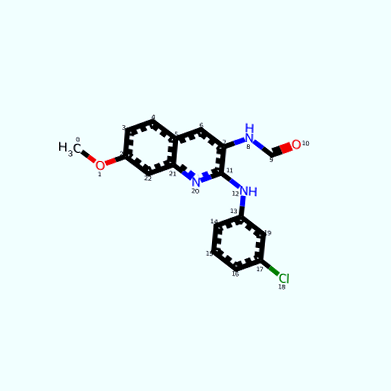 COc1ccc2cc(NC=O)c(Nc3cccc(Cl)c3)nc2c1